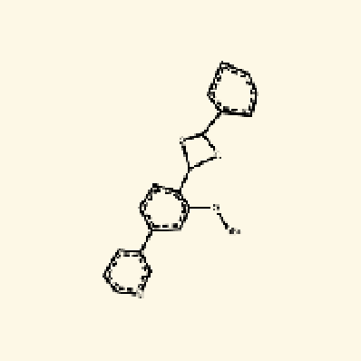 CCCCOc1cc(-c2cccnc2)ccc1C1OC(c2ccccc2)O1